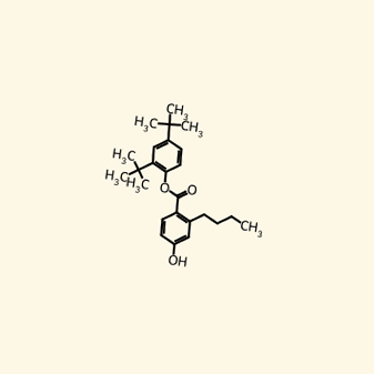 CCCCc1cc(O)ccc1C(=O)Oc1ccc(C(C)(C)C)cc1C(C)(C)C